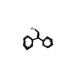 CC(=O)C=C(c1ccccc1)c1ccccc1